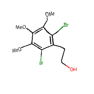 COc1c(Br)c(CCO)c(Br)c(OC)c1OC